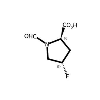 O=CN1C[C@@H](F)C[C@@H]1C(=O)O